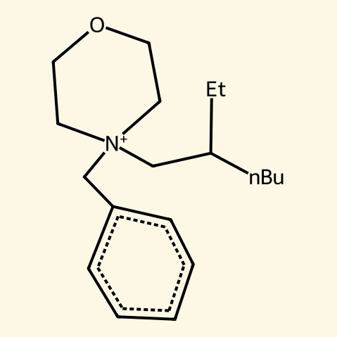 CCCCC(CC)C[N+]1(Cc2ccccc2)CCOCC1